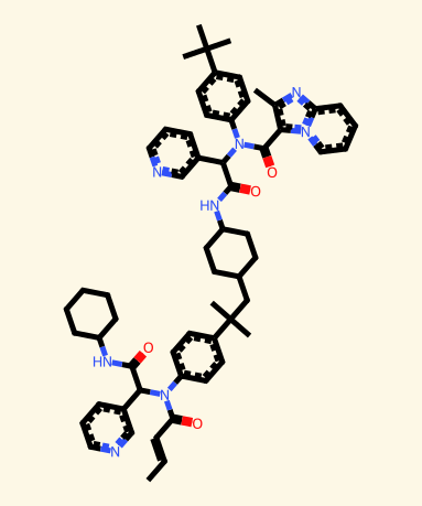 C/C=C/C(=O)N(c1ccc(C(C)(C)CC2CCC(NC(=O)C(c3cccnc3)N(C(=O)c3c(C)nc4ccccn34)c3ccc(C(C)(C)C)cc3)CC2)cc1)C(C(=O)NC1CCCCC1)c1cccnc1